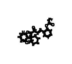 CC(C)C(=O)Oc1ccccc1C=CC(=O)N(C)C1(c2ccccc2Cl)CCCCC1=O